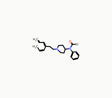 C=C/C=C(\C=C/C)CCN1CCC(N(C(=O)CC)c2ccccc2)CC1